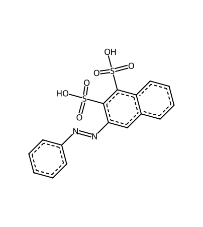 O=S(=O)(O)c1c(N=Nc2ccccc2)cc2ccccc2c1S(=O)(=O)O